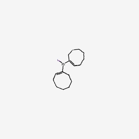 [I][Rh]([C]1=CCCCCCC1)[C]1=CCCCCCC1